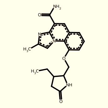 CCC1CC(=O)NC1COc1cccc2cc(C(N)=O)c3nc(C)cn3c12